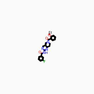 CCOc1ccccc1C(=O)N1C=C2C=NC(NC(=O)c3cccc(F)c3)N=C2CC1